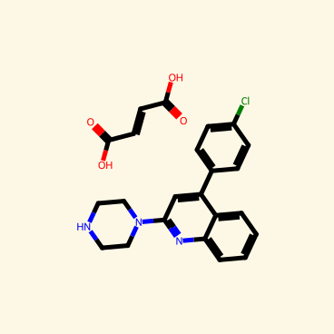 Clc1ccc(-c2cc(N3CCNCC3)nc3ccccc23)cc1.O=C(O)C=CC(=O)O